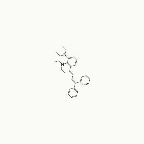 CCN(CC)c1cccc(C=CC=C(c2ccccc2)c2ccccc2)c1N(CC)CC